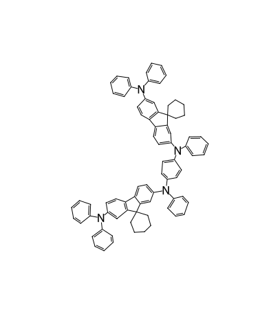 c1ccc(N(c2ccccc2)c2ccc3c(c2)C2(CCCCC2)c2cc(N(c4ccccc4)c4ccc(N(c5ccccc5)c5ccc6c(c5)C5(CCCCC5)c5cc(N(c7ccccc7)c7ccccc7)ccc5-6)cc4)ccc2-3)cc1